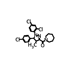 CC1C(C(=O)N2CCCCCC2)=NN(c2ccc(Cl)cc2Cl)C1c1ccc(Cl)cc1